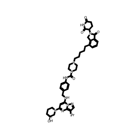 CC(C)c1cnn2c(NCc3ccc(NC(=O)N4CCN(CCCCCc5cccc6c5CN(C5CCC(=O)NC5=O)C6=O)CC4)cc3)cc(N3CCC[C@H](O)C3)nc12